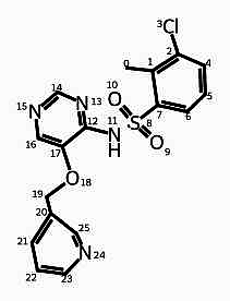 Cc1c(Cl)cccc1S(=O)(=O)Nc1ncncc1OCc1cccnc1